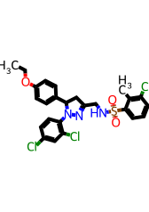 CCOc1ccc(C2CC(CNS(=O)(=O)c3cccc(Cl)c3C)=NN2c2ccc(Cl)cc2Cl)cc1